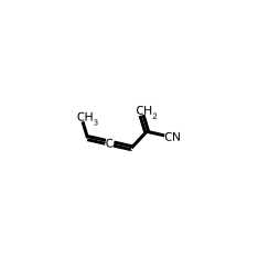 C=C([C]=C=CC)C#N